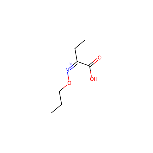 CCCO/N=C(/CC)C(=O)O